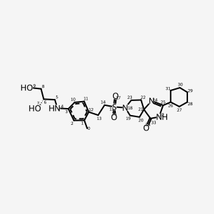 Cc1cc(NC[C@H](O)CO)ccc1CCS(=O)(=O)N1CCC2(CC1)N=C(C1CCCCC1)NC2=O